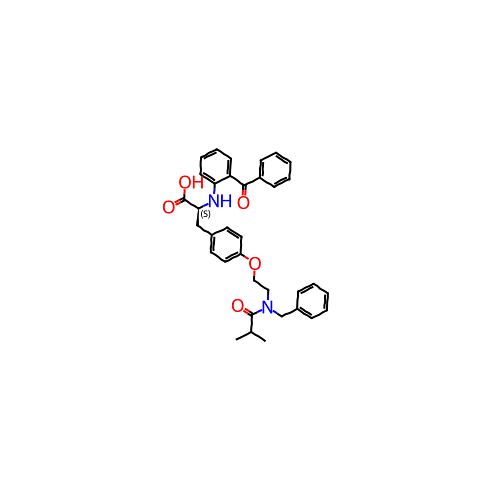 CC(C)C(=O)N(CCOc1ccc(C[C@H](Nc2ccccc2C(=O)c2ccccc2)C(=O)O)cc1)Cc1ccccc1